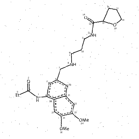 CCC(=O)Nc1nc(CNCCCNC(=O)C2CCCO2)nc2cc(OC)c(OC)cc12